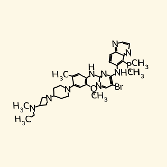 CCN(C)C1CN(C2CCN(c3cc(OC)c(Nc4ncc(Br)c(Nc5ccc6nccnc6c5P(C)C)n4)cc3C)CC2)C1